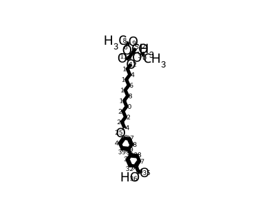 CC(=O)OC(C)(OC(C)=O)C(=O)OCCCCCCCCCCCCOc1ccc(-c2ccc(C(=O)O)cc2)cc1